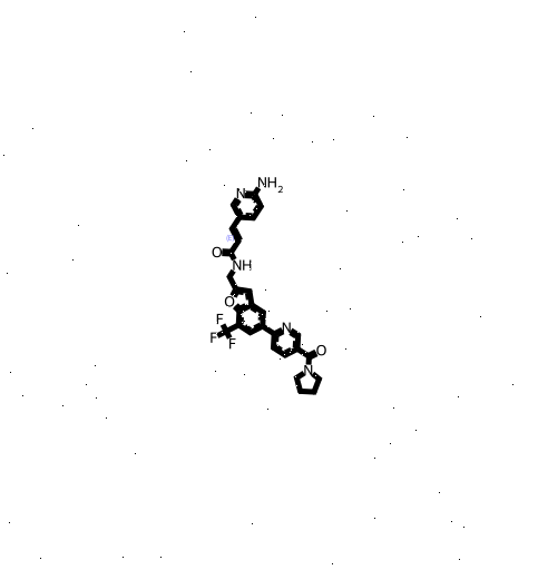 Nc1ccc(/C=C/C(=O)NCc2cc3cc(-c4ccc(C(=O)N5CCCC5)cn4)cc(C(F)(F)F)c3o2)cn1